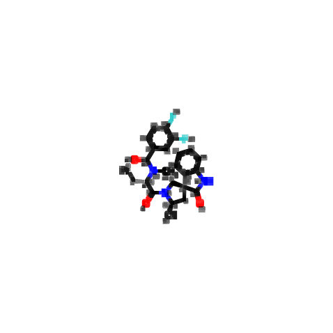 CC(C)C[C@@H](C(=O)N1C[C@]2(C[C@H]1C#N)C(=O)Nc1ccccc12)N(C)C(=O)c1ccc(F)c(F)c1